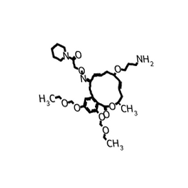 CCOCOc1cc2c(c(OCOCC)c1)C(=O)O[C@H](C)C/C=C/C(OCCCN)C/C=C/C(=NOCC(=O)N1CCCCC1)C2